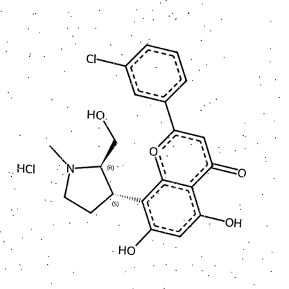 CN1CC[C@@H](c2c(O)cc(O)c3c(=O)cc(-c4cccc(Cl)c4)oc23)[C@@H]1CO.Cl